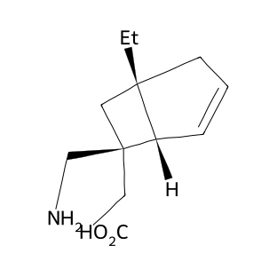 CC[C@@]12CC=C[C@@H]1[C@](CN)(CC(=O)O)C2